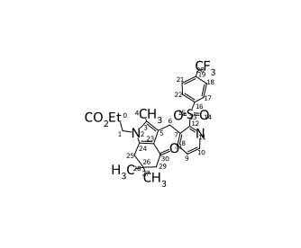 CCOC(=O)Cn1c(C)c(Cc2cccnc2S(=O)(=O)c2ccc(C(F)(F)F)cc2)c2c1CC(C)(C)CC2=O